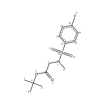 CN(CC(=O)OC(C)(C)C)S(=O)(=O)c1ccc(F)cc1